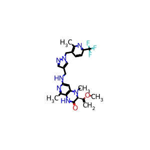 C=C(OC)[C@H]1C(=O)Nc2c(cc(NCc3cnn(Cc4ccc(C(F)(F)F)nc4C)c3)nc2C)N1C